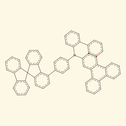 c1ccc(-c2ccccc2N(c2ccc(-c3cccc4c3-c3ccccc3C43c4ccccc4-c4ccccc43)cc2)c2ccc3c4ccccc4c4ccccc4c3c2)cc1